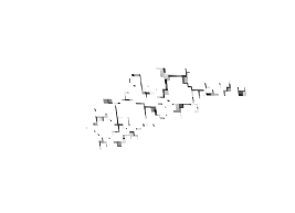 CSc1ccc(C(=O)C2(O)CCC3(CC2)OCCO3)cc1